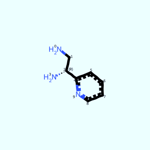 NC[C@@H](N)c1ccccn1